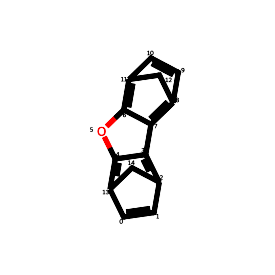 C1=CC2=c3c(oc4c3=C3C=CC=4C3)=C1C2